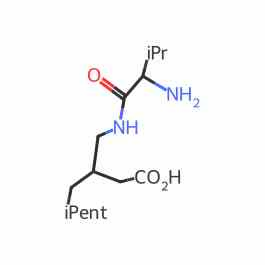 CCCC(C)CC(CNC(=O)C(N)C(C)C)CC(=O)O